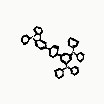 c1ccc(N(c2ccccc2)c2cc(-c3ccc(-c4ccc5c(c4)c4ccccc4n5-c4ccccc4)cc3)cc(N(c3ccccc3)c3ccccc3)c2)cc1